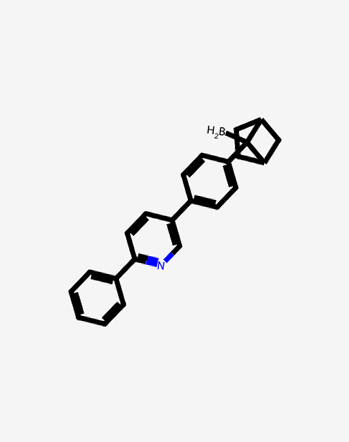 BC1(c2ccc(-c3ccc(-c4ccccc4)nc3)cc2)C2CCC1C2